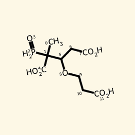 CC([PH2]=O)(C(=O)O)C(CC(=O)O)OCCC(=O)O